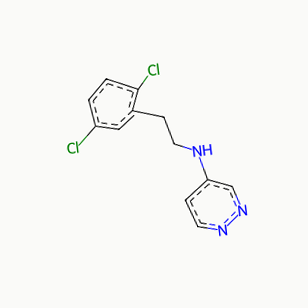 Clc1ccc(Cl)c(CCNc2ccnnc2)c1